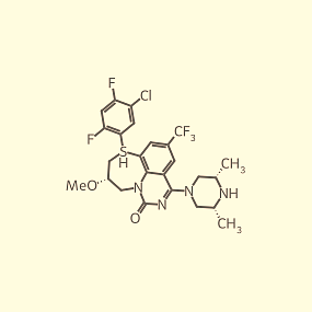 CO[C@H]1Cn2c(=O)nc(N3C[C@@H](C)N[C@@H](C)C3)c3cc(C(F)(F)F)cc(c32)[SH](c2cc(Cl)c(F)cc2F)C1